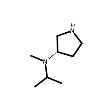 CC(C)N(C)[C@H]1CCNC1